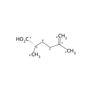 C=C(C)CC[C@H](C)C(=O)O